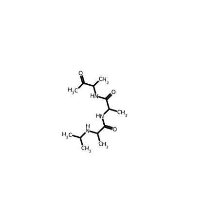 CC(=O)C(C)NC(=O)C(C)NC(=O)C(C)NC(C)C